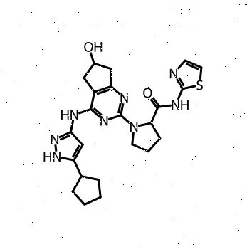 O=C(Nc1nccs1)C1CCCN1c1nc2c(c(Nc3cc(C4CCCC4)[nH]n3)n1)CC(O)C2